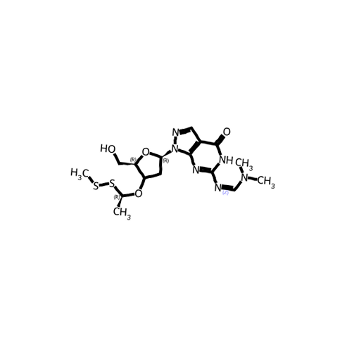 CSS[C@H](C)OC1C[C@H](n2ncc3c(=O)[nH]c(/N=C\N(C)C)nc32)O[C@@H]1CO